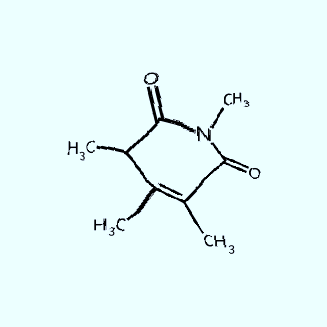 CC1=C(C)C(C)C(=O)N(C)C1=O